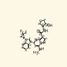 CNc1cc(-c2cn([C@@H]3CC3(F)F)c3ncccc23)nc2c(C(=O)N[C@@H]3COC[C@@H]3O)cnn12